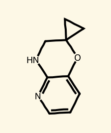 c1cnc2c(c1)OC1(CC1)CN2